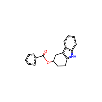 O=C(OC1CCc2[nH]c3ccccc3c2C1)c1ccccc1